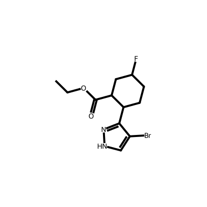 CCOC(=O)C1CC(F)CCC1c1n[nH]cc1Br